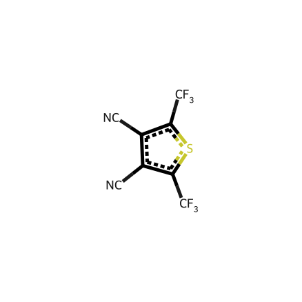 N#Cc1c(C(F)(F)F)sc(C(F)(F)F)c1C#N